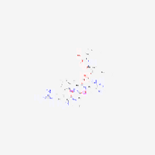 CC[C@H](C)[C@H](NC(=O)CC(O)C(CC(C)C)NC(=O)[C@H](Cc1c[nH]cn1)NC(=O)[C@H](Cc1ccccc1)NC(=O)[C@@H]1CCCN1C(=O)[C@@H](N)CCCNC(=N)N)C(=O)O